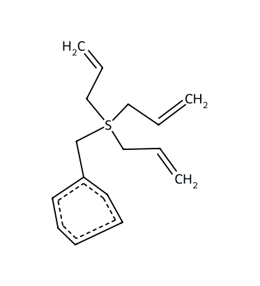 C=CCS(CC=C)(CC=C)Cc1ccccc1